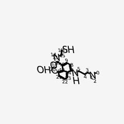 CN(C)CCCNc1ccc(C(=O)N(C)CCS)c2c(C=O)cccc12